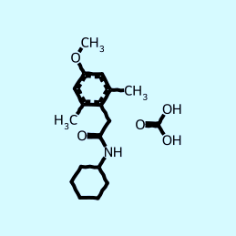 COc1cc(C)c(CC(=O)NC2CCCCC2)c(C)c1.O=C(O)O